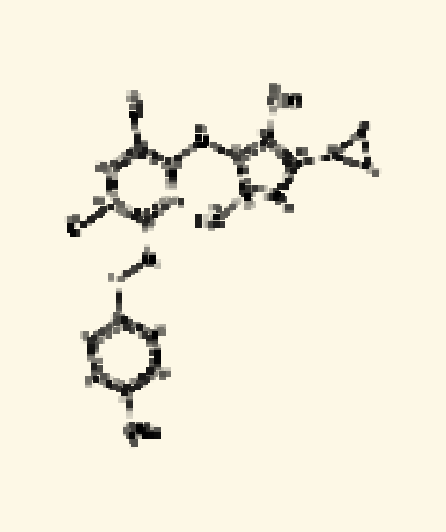 COc1ccc(COc2cc(Oc3c(C=O)c(C4CC4)nn3C)c(Cl)cc2Cl)cc1